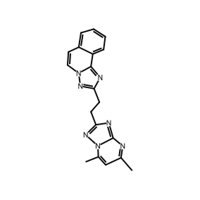 Cc1cc(C)n2nc(CCc3nc4c5ccccc5ccn4n3)nc2n1